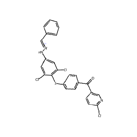 O=C(c1ccc(Sc2c(Cl)cc(N/N=C/c3ccccc3)cc2Cl)cc1)c1ccc(Cl)nc1